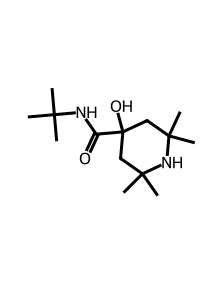 CC(C)(C)NC(=O)C1(O)CC(C)(C)NC(C)(C)C1